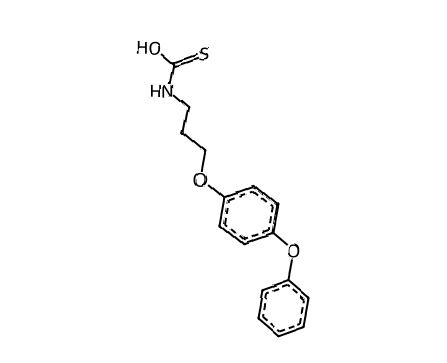 OC(=S)NCCCOc1ccc(Oc2ccccc2)cc1